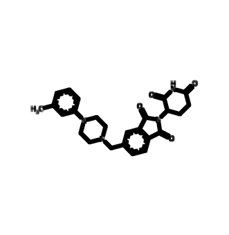 Cc1cccc(N2CCN(Cc3ccc4c(c3)C(=O)N(C3CCC(=O)NC3=O)C4=O)CC2)c1